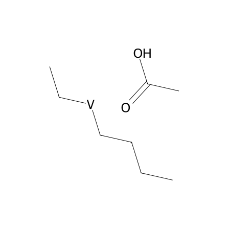 CC(=O)O.CCC[CH2][V][CH2]C